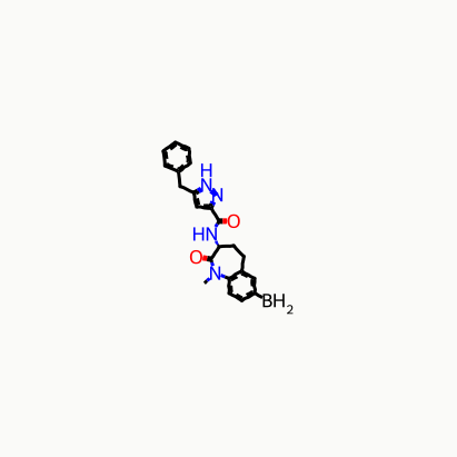 Bc1ccc2c(c1)CC[C@H](NC(=O)c1cc(Cc3ccccc3)[nH]n1)C(=O)N2C